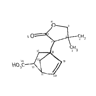 CC1(C)COC(=O)C1C12C=CC(C1)C(C(=O)O)C2